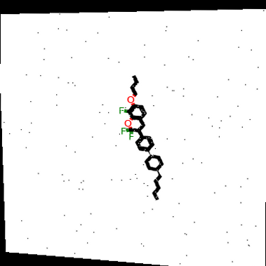 CCCCC[C@H]1CC[C@H](c2ccc(C3Cc4ccc(OCCCC)c(F)c4OC3(F)F)cc2)CC1